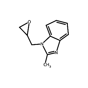 Cc1nc2ccccc2n1CC1CO1